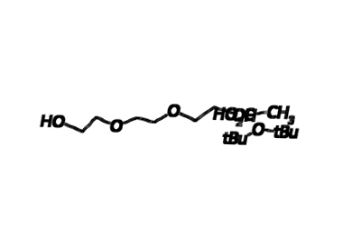 CC(=O)O.CC(C)(C)OC(C)(C)C.OCCOCCOCCO